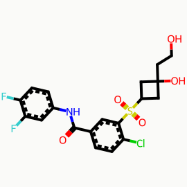 O=C(Nc1ccc(F)c(F)c1)c1ccc(Cl)c(S(=O)(=O)C2CC(O)(CCO)C2)c1